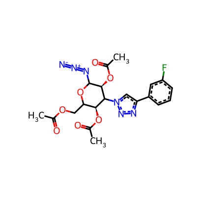 CC(=O)OCC1OC(N=[N+]=[N-])[C@@H](OC(C)=O)C(n2cc(-c3cccc(F)c3)nn2)[C@H]1OC(C)=O